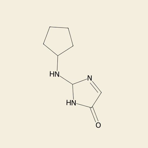 O=C1C=NC(NC2CCCC2)N1